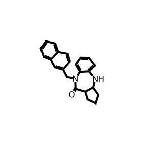 O=C1C2CCCC2Nc2ccccc2N1Cc1ccc2ccccc2c1